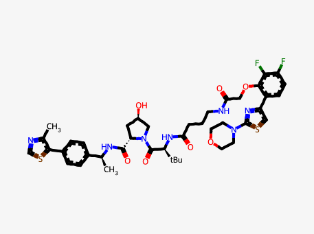 Cc1ncsc1-c1ccc([C@H](C)NC(=O)[C@@H]2C[C@@H](O)CN2C(=O)[C@@H](NC(=O)CCCNC(=O)COc2c(-c3csc(N4CCOCC4)n3)ccc(F)c2F)C(C)(C)C)cc1